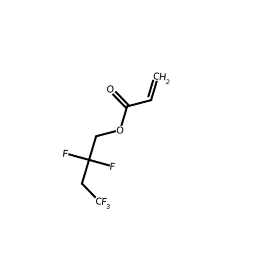 C=CC(=O)OCC(F)(F)CC(F)(F)F